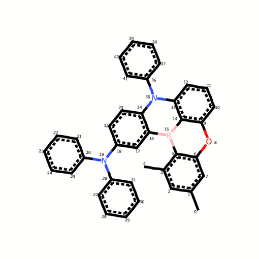 Cc1cc(C)c2c(c1)Oc1cccc3c1B2c1cc(N(c2ccccc2)c2ccccc2)ccc1N3c1ccccc1